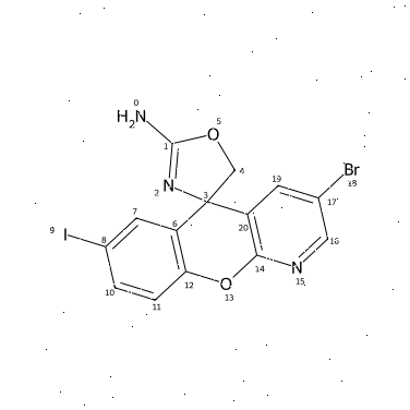 NC1=NC2(CO1)c1cc(I)ccc1Oc1ncc(Br)cc12